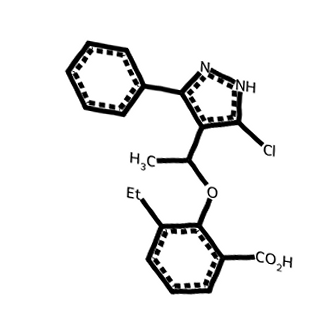 CCc1cccc(C(=O)O)c1OC(C)c1c(-c2ccccc2)n[nH]c1Cl